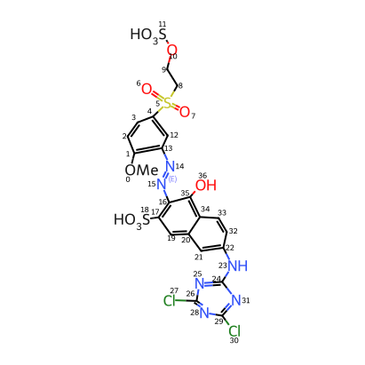 COc1ccc(S(=O)(=O)CCOS(=O)(=O)O)cc1/N=N/c1c(S(=O)(=O)O)cc2cc(Nc3nc(Cl)nc(Cl)n3)ccc2c1O